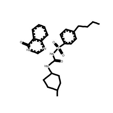 CCCCc1ccc(S(=O)(=O)NC(=O)NC2CCC(C)CC2)cc1.O=c1[nH]cnc2ccccc12